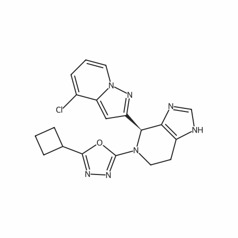 Clc1cccn2nc([C@H]3c4nc[nH]c4CCN3c3nnc(C4CCC4)o3)cc12